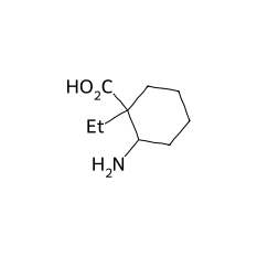 CCC1(C(=O)O)CCCCC1N